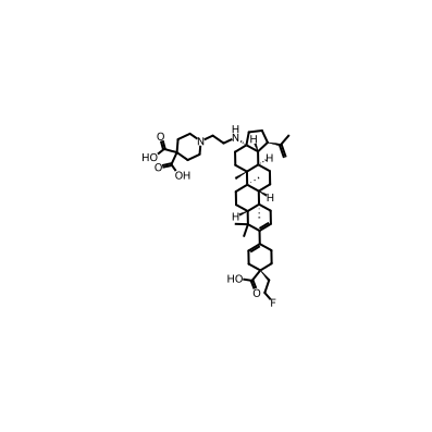 C=C(C)[C@@H]1CC[C@]2(NCCN3CCC(C(=O)O)(C(=O)O)CC3)CC[C@]3(C)[C@H](CC[C@@H]4[C@@]5(C)CC=C(C6=CC[C@@](CCF)(C(=O)O)CC6)C(C)(C)[C@@H]5CC[C@]43C)[C@@H]12